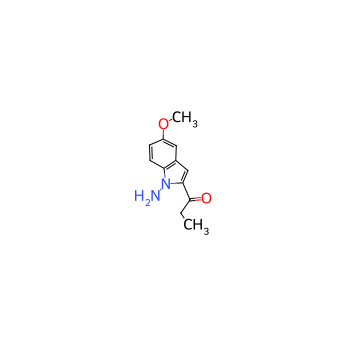 CCC(=O)c1cc2cc(OC)ccc2n1N